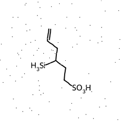 C=CCC([SiH3])CCS(=O)(=O)O